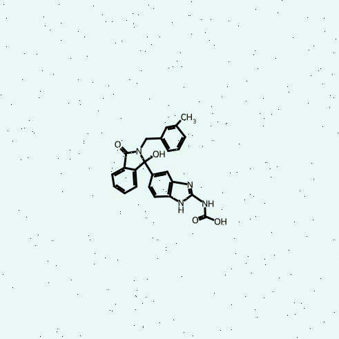 Cc1cccc(CN2C(=O)c3ccccc3C2(O)c2ccc3[nH]c(NC(=O)O)nc3c2)c1